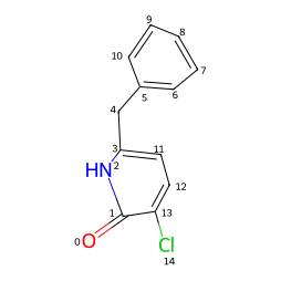 O=c1[nH]c(Cc2ccccc2)ccc1Cl